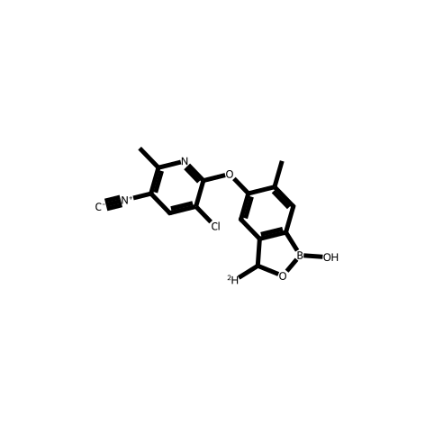 [2H]C1OB(O)c2cc(C)c(Oc3nc(C)c([N+]#[C-])cc3Cl)cc21